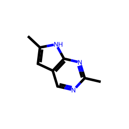 Cc1ncc2cc(C)[nH]c2n1